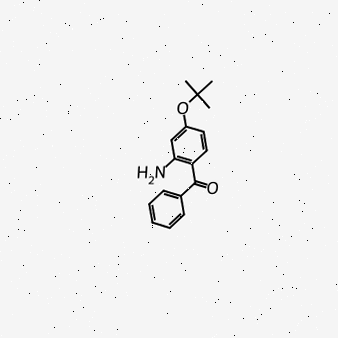 CC(C)(C)Oc1ccc(C(=O)c2ccccc2)c(N)c1